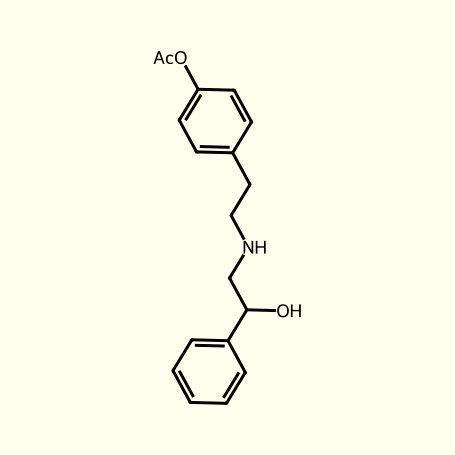 CC(=O)Oc1ccc(CCNCC(O)c2ccccc2)cc1